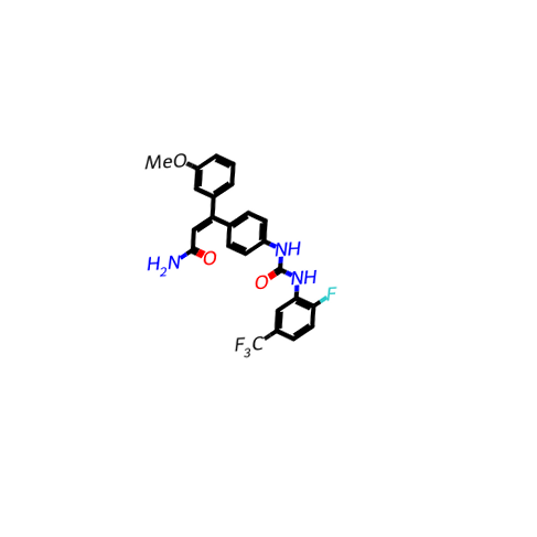 COc1cccc(C(=CC(N)=O)c2ccc(NC(=O)Nc3cc(C(F)(F)F)ccc3F)cc2)c1